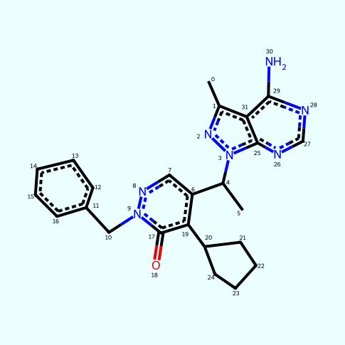 Cc1nn(C(C)c2cnn(Cc3ccccc3)c(=O)c2C2CCCC2)c2ncnc(N)c12